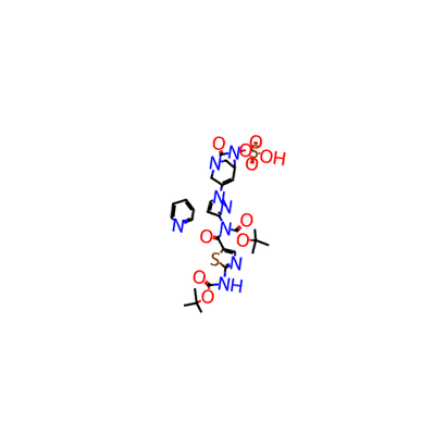 CC(C)(C)OC(=O)Nc1ncc(C(=O)N(C(=O)OC(C)(C)C)c2ccn(C3=CC4CN(C3)C(=O)N4OS(=O)(=O)O)n2)s1.c1ccncc1